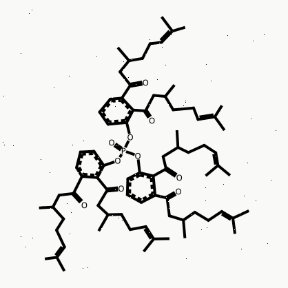 CC(C)=CCCC(C)CC(=O)c1cccc(OP(=O)(Oc2cccc(C(=O)CC(C)CCC=C(C)C)c2C(=O)CC(C)CCC=C(C)C)Oc2cccc(C(=O)CC(C)CCC=C(C)C)c2C(=O)CC(C)CCC=C(C)C)c1C(=O)CC(C)CCC=C(C)C